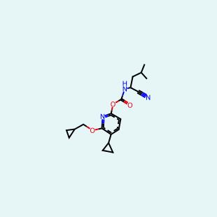 CC(C)CC(C#N)NC(=O)Oc1ccc(C2CC2)c(OCC2CC2)n1